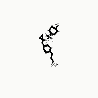 O=C(O)CCCc1ccc(CC2(NS(=O)(=O)c3ccc(Cl)cc3)CC2)cc1